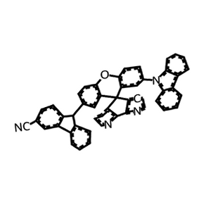 N#Cc1ccc2c(c1)-c1ccccc1C2c1ccc2c(c1)C1(c3cc(-n4c5ccccc5c5ccccc54)ccc3O2)c2cccnc2-c2ncccc21